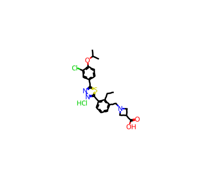 CCc1c(CN2CC(C(=O)O)C2)cccc1-c1nnc(-c2ccc(OC(C)C)c(Cl)c2)s1.Cl